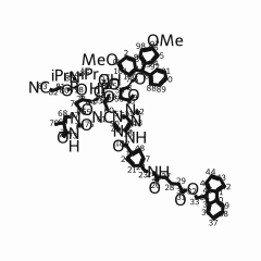 COc1ccc(C(OC[C@H]2O[C@@H](n3cnc4c(NC(=O)c5ccc(CNC(=O)CCCC(=O)OCC6c7ccccc7-c7ccccc76)cc5)ncnc43)C[C@H]2O[PH](O)(OCCC#N)OC[C@H]2O[C@@H](n3cc(C)c(=O)[nH]c3=O)C[C@H]2OP(OCCC#N)N(C(C)C)C(C)C)(c2ccccc2)c2ccc(OC)cc2)cc1